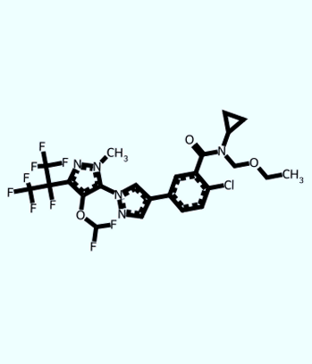 CCOCN(C(=O)c1cc(-c2cnn(-c3c(OC(F)F)c(C(F)(C(F)(F)F)C(F)(F)F)nn3C)c2)ccc1Cl)C1CC1